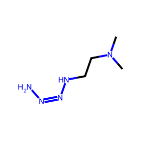 CN(C)CCN/N=N\N